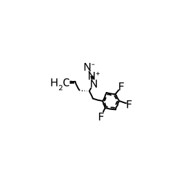 C=CC[C@@H](Cc1cc(F)c(F)cc1F)N=[N+]=[N-]